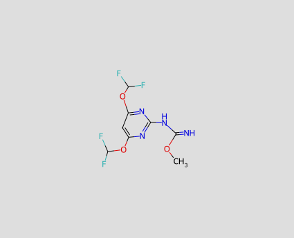 COC(=N)Nc1nc(OC(F)F)cc(OC(F)F)n1